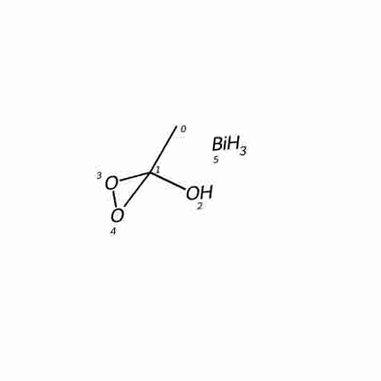 CC1(O)OO1.[BiH3]